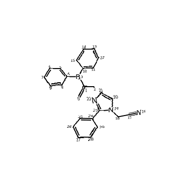 C=C(C)B(c1ccccc1)c1ccccc1.N#CCn1ccnc1-c1ccccc1